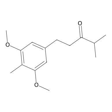 COc1cc(CCC(=O)C(C)C)cc(OC)c1C